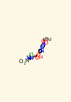 CC(C)(C)OC(=O)N1CCN(c2ccc(OCC(O)CCn3cc([N+](=O)[O-])nc3Cl)cn2)CC1